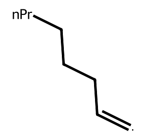 [CH]=CCCCC[CH]C